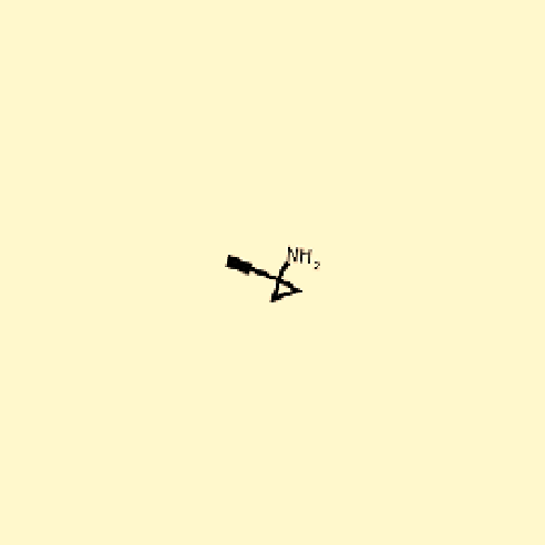 C#CC1(N)CC1